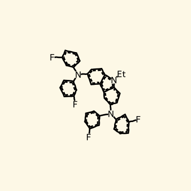 CCn1c2ccc(N(c3cccc(F)c3)c3cccc(F)c3)cc2c2cc(N(c3cccc(F)c3)c3cccc(F)c3)ccc21